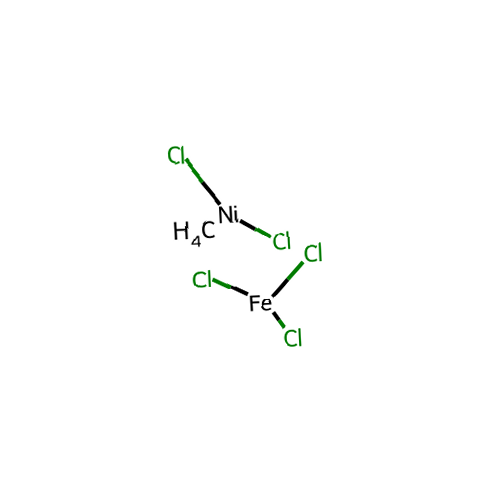 C.[Cl][Fe]([Cl])[Cl].[Cl][Ni][Cl]